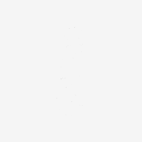 [O-][S+]1CCOc2ccc(C3CSc4cc(C5COc6ccccc6O5)ccc4O3)cc21